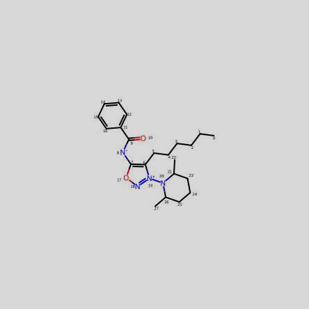 CCCCCCc1c([N-]C(=O)c2ccccc2)on[n+]1N1C(C)CCCC1C